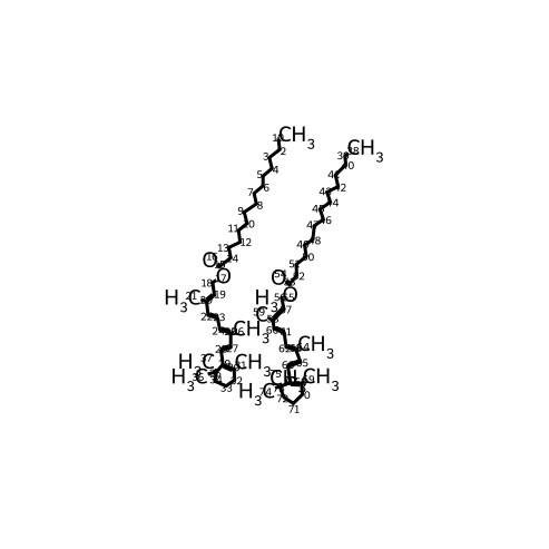 CCCCCCCCCCCCCCCC(=O)OCC=C(C)C=CC=C(C)C=CC1=C(C)CCCC1(C)C.CCCCCCCCCCCCCCCC(=O)OCC=C(C)C=CC=C(C)C=CC1=C(C)CCCC1(C)C